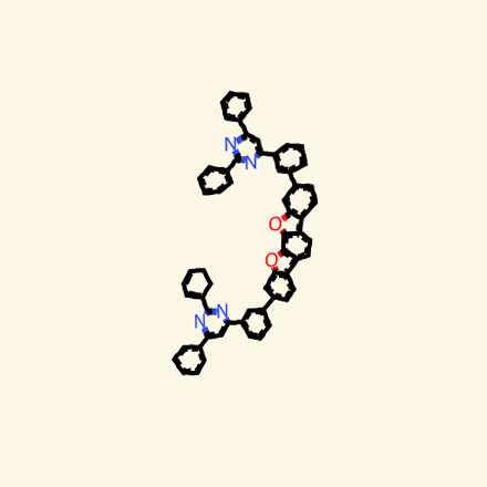 C1=CCCC(c2nc(-c3ccccc3)cc(-c3cccc(-c4ccc5c(c4)oc4c5ccc5c6ccc(-c7cccc(-c8cc(-c9ccccc9)nc(-c9ccccc9)n8)c7)cc6oc54)c3)n2)=C1